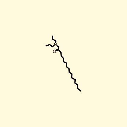 CCCCCCCCCCCCCCCC(=O)CN(CCC)CCC